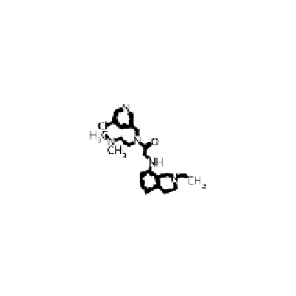 CCN1CCc2cccc(NCC(=O)N(CCN(C)C)Cc3cncc(Cl)c3)c2C1